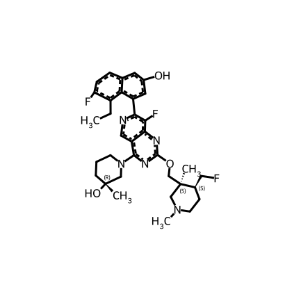 CCc1c(F)ccc2cc(O)cc(-c3ncc4c(N5CCC[C@@](C)(O)C5)nc(OC[C@]5(C)CN(C)CC[C@@H]5CF)nc4c3F)c12